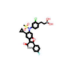 CNC(=O)c1c(-c2ccc(F)cc2)oc2cc(N(c3ccc(CCB(O)O)c(Cl)c3)S(C)(=O)=O)c(C3CC3)cc12